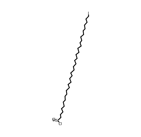 Cl[SiH](Cl)CCCCCCCCCCCCCCCCCCCCCCCCCCCCCCCCCCCI